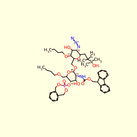 CCCCOCC1O[C@@H](OCC2OC(CC(C)(C)[Si](C)(C)O)[C@@H](N=[N+]=[N-])C(O)[C@@H]2OCCCC)[C@@H](NC(=O)OCC2c3ccccc3-c3ccccc32)C(O)[C@@H]1OP1(=O)OCc2ccccc2CO1